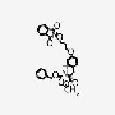 COC(=O)[C@H](Cc1ccc(OCCCON2C(=O)c3ccccc3C2=O)cc1)NC(=O)OCc1ccccc1